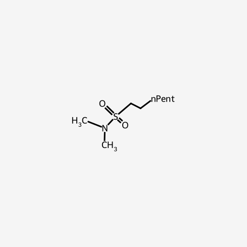 CCCCCCCS(=O)(=O)N(C)C